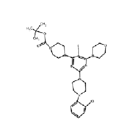 CC(C)(C)OC(=O)N1CCN(c2nc(N3CCN(c4ccccc4Cl)CC3)nc(N3CCOCC3)c2F)CC1